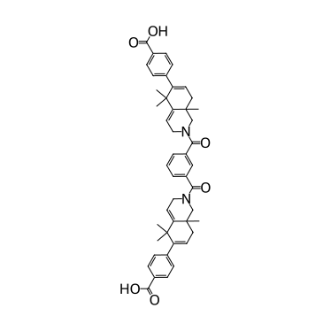 CC12CC=C(c3ccc(C(=O)O)cc3)C(C)(C)C1=CCN(C(=O)c1cccc(C(=O)N3CC=C4C(C)(CC=C(c5ccc(C(=O)O)cc5)C4(C)C)C3)c1)C2